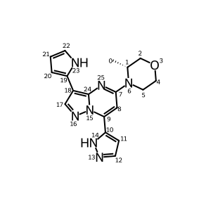 C[C@@H]1COCCN1c1cc(-c2ccn[nH]2)n2ncc(-c3ccc[nH]3)c2n1